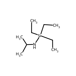 CC[Si](CC)(CC)NC(C)C